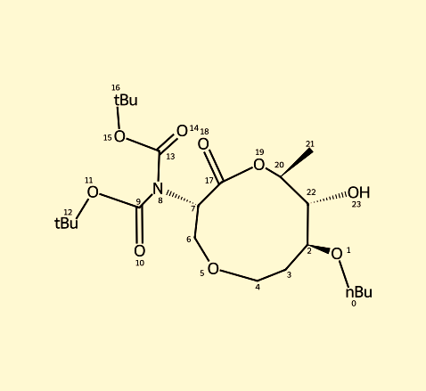 CCCCO[C@H]1CCOC[C@H](N(C(=O)OC(C)(C)C)C(=O)OC(C)(C)C)C(=O)O[C@@H](C)[C@@H]1O